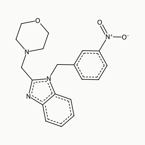 O=[N+]([O-])c1cccc(Cn2c(CN3CCOCC3)nc3ccccc32)c1